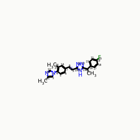 Cc1cn(-c2ccc(/C=C/c3nnc([C@H](C)c4ccc(F)cc4)[nH]3)cc2C)cn1